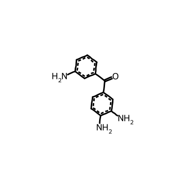 Nc1cccc(C(=O)c2ccc(N)c(N)c2)c1